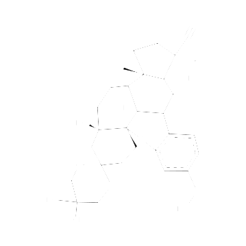 C#C[C@]1(O)CC[C@H]2[C@@H]3CC[C@@]4(O)CC5(CC[C@@]46Cc4cc(OC)ccc4C(C[C@@]21C)C36)OCC(C)(C)CO5